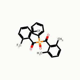 Cc1cccc(C)c1C(=O)P(=O)(C(=O)c1c(C(F)(F)F)cccc1C(F)(F)F)c1ccccc1